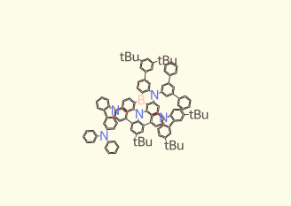 CC(C)(C)c1cc(-c2ccc3c(c2)N(c2cc(-c4ccccc4)cc(-c4ccccc4)c2)c2cc(-n4c5ccc(C(C)(C)C)cc5c5cc(C(C)(C)C)ccc54)cc4c2B3c2ccc(-n3c5ccccc5c5cc(N(c6ccccc6)c6ccccc6)ccc53)cc2N4c2c(-c3ccccc3)cc(C(C)(C)C)cc2-c2ccccc2)cc(C(C)(C)C)c1